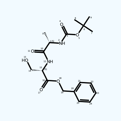 C[C@H](NC(=O)OC(C)(C)C)C(=O)N[C@@H](CO)C(=O)OCc1ccccc1